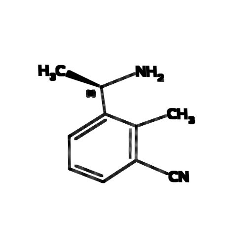 Cc1c(C#N)cccc1[C@@H](C)N